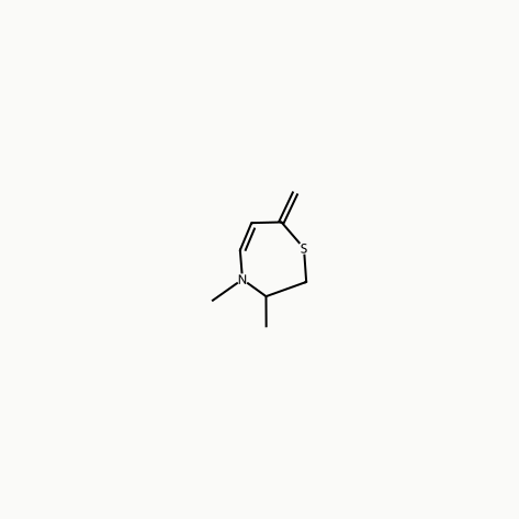 C=C1C=CN(C)C(C)CS1